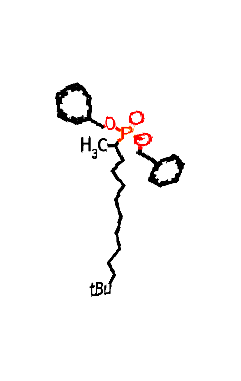 CC(CCCCCCCCCC(C)(C)C)P(=O)(OCc1ccccc1)OCc1ccccc1